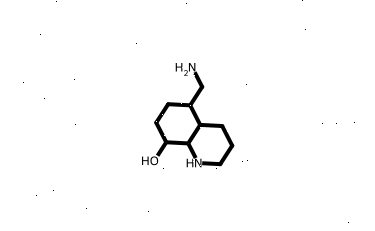 NCC1CCC(O)C2NCCCC12